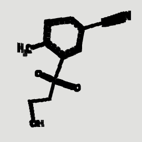 Cc1ccc(C#N)cc1S(=O)(=O)CCO